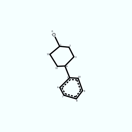 [O]C1CCC(c2ccccc2)CC1